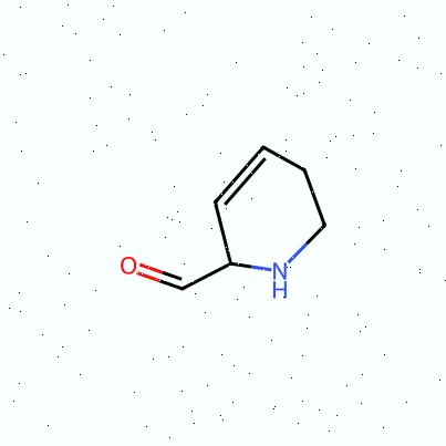 O=CC1C=CCCN1